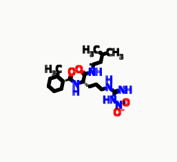 CC(C)C[CH]NC(=O)[C@H](CCCNC(=N)N[N+](=O)[O-])NC(=O)[C@@H]1CCCCC1C